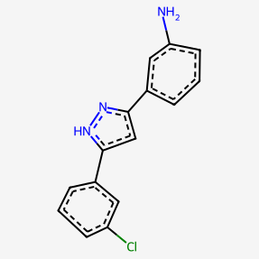 Nc1cccc(-c2cc(-c3cccc(Cl)c3)[nH]n2)c1